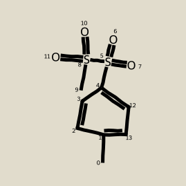 Cc1ccc(S(=O)(=O)S(C)(=O)=O)cc1